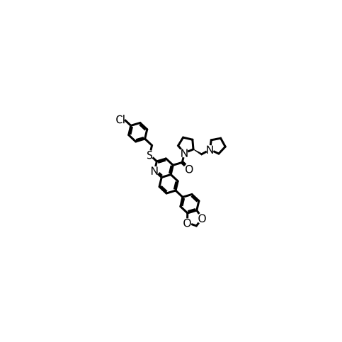 O=C(c1cc(SCc2ccc(Cl)cc2)nc2ccc(-c3ccc4c(c3)OCO4)cc12)N1CCC[C@H]1CN1CCCC1